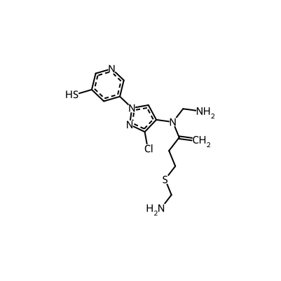 C=C(CCSCN)N(CN)c1cn(-c2cncc(S)c2)nc1Cl